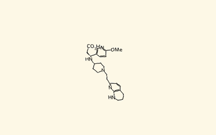 COc1ccc([C@H](CC(=O)O)NC2CCN(CCc3ccc4c(n3)NCCC4)CC2)cn1